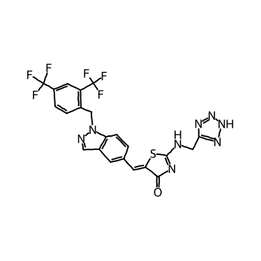 O=C1N=C(NCc2nn[nH]n2)S/C1=C\c1ccc2c(cnn2Cc2ccc(C(F)(F)F)cc2C(F)(F)F)c1